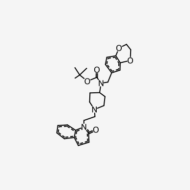 CC(C)(C)OC(=O)N(Cc1ccc2c(c1)OCCO2)C1CCN(CCn2c(=O)ccc3ccccc32)CC1